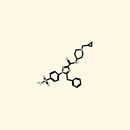 NS(=O)(=O)c1ccc(-n2nc(C(=O)NC3CCN(CC4CC4)CC3)nc2Cc2ccccc2)cc1